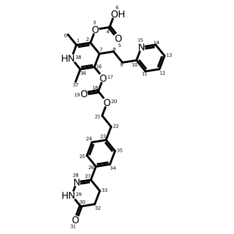 CC1=C(OC(=O)O)C(CCc2ccccn2)C(OC(=O)OCCc2ccc(C3=NNC(=O)CC3)cc2)=C(C)N1